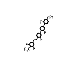 CCCc1ccc(-c2ccc(-c3ccc(CCc4cc(F)c(C(F)(F)F)c(F)c4)c(F)c3)c(F)c2)c(F)c1